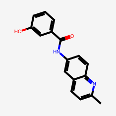 Cc1ccc2cc(NC(=O)c3cccc(O)c3)ccc2n1